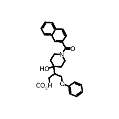 O=C(O)CC(COc1ccccc1)C1(O)CCN(C(=O)c2ccc3ccccc3c2)CC1